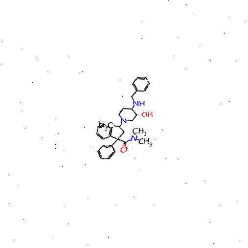 CC(CC(C(=O)N(C)C)(c1ccccc1)c1ccccc1)N1CC[C@@H](NCc2ccccc2)[C@H](O)C1